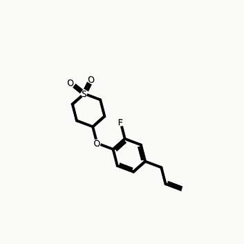 C=CCc1ccc(OC2CCS(=O)(=O)CC2)c(F)c1